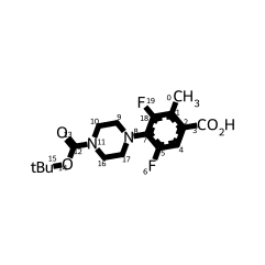 Cc1c(C(=O)O)cc(F)c(N2CCN(C(=O)OC(C)(C)C)CC2)c1F